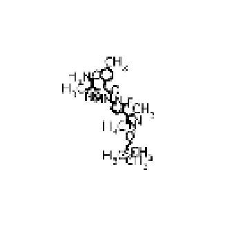 Cc1noc([C@@H](C(=O)Nc2ccc(-c3c(C)nn(COCC[Si](C)(C)C)c3C)c(F)n2)C2CCC(C)CC2)c1C(N)=O